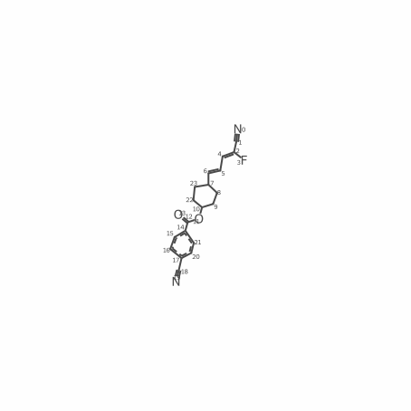 N#CC(F)=C/C=C/C1CCC(OC(=O)c2ccc(C#N)cc2)CC1